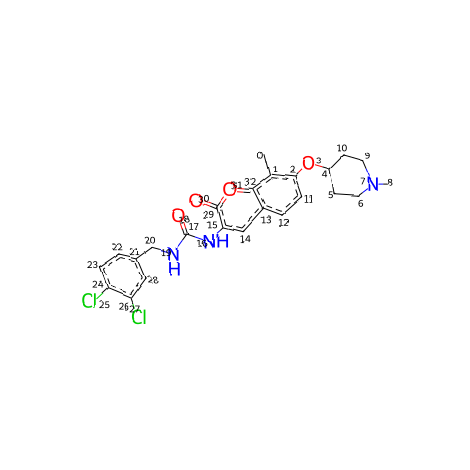 Cc1c(OC2CCN(C)CC2)ccc2cc(NC(=O)NCc3ccc(Cl)c(Cl)c3)c(=O)oc12